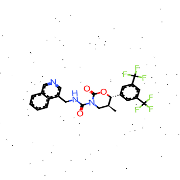 C[C@H]1CN(C(=O)NCc2cncc3ccccc23)C(=O)O[C@@H]1c1cc(C(F)(F)F)cc(C(F)(F)F)c1